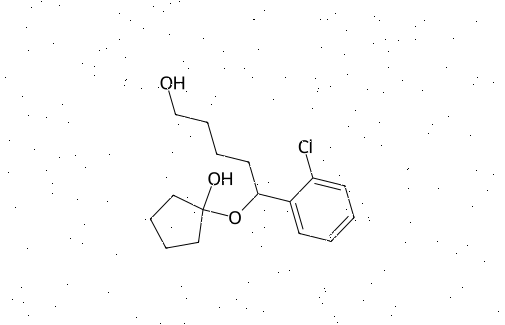 OCCCCC(OC1(O)CCCC1)c1ccccc1Cl